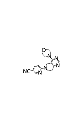 N#Cc1ccc(N2CCc3ncnc(N4CCOCC4)c3C2)nc1